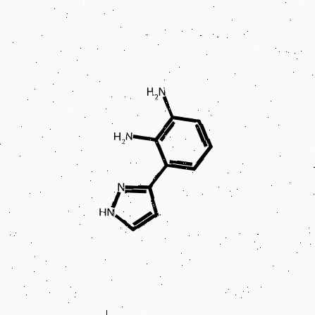 Nc1cccc(-c2[c]c[nH]n2)c1N